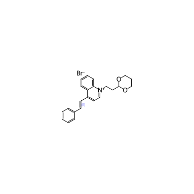 C(=C\c1cc[n+](CCC2OCCCO2)c2ccccc12)/c1ccccc1.[Br-]